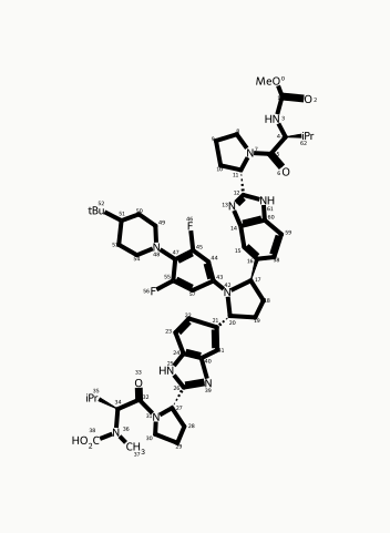 COC(=O)N[C@H](C(=O)N1CCC[C@H]1c1nc2cc([C@H]3CC[C@H](c4ccc5[nH]c([C@@H]6CCCN6C(=O)[C@H](C(C)C)N(C)C(=O)O)nc5c4)N3c3cc(F)c(N4CCC(C(C)(C)C)CC4)c(F)c3)ccc2[nH]1)C(C)C